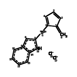 C=C1C=CC=[C]1[Ti+2][c]1cc2ccccc2[nH]1.[Cl-].[Cl-]